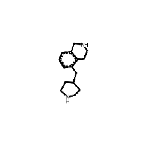 c1cc2c(c(CC3CCNCC3)c1)CCNC2